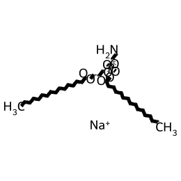 CCCCCCCCCCCCCCCC(=O)OC[C@H](COP(=O)([O-])OCCN)OC(=O)CCCCCCCCCCCCCCC.[Na+]